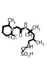 CC(CNOS(=O)(=O)O)CC(C)(C)NC(=O)CN1C(C)CCCC1C